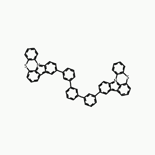 c1cc(-c2cccc(-c3ccc4c(c3)c3cccc5c3n4-c3ccccc3S5)c2)cc(-c2cccc(-c3ccc4c(c3)c3cccc5c3n4-c3ccccc3S5)c2)c1